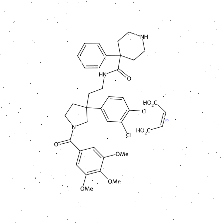 COc1cc(C(=O)N2CCC(CCNC(=O)C3(c4ccccc4)CCNCC3)(c3ccc(Cl)c(Cl)c3)C2)cc(OC)c1OC.O=C(O)/C=C\C(=O)O